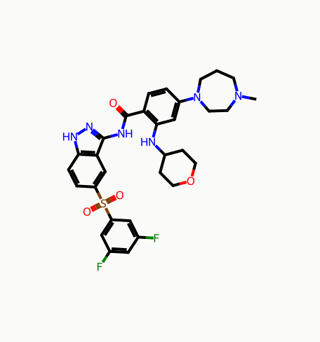 CN1CCCN(c2ccc(C(=O)Nc3n[nH]c4ccc(S(=O)(=O)c5cc(F)cc(F)c5)cc34)c(NC3CCOCC3)c2)CC1